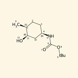 C[C@H]1CC[C@@H](NC(=O)OC(C)(C)C)C[C@H]1O